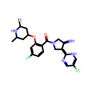 CCC1CC(Oc2cc(F)ccc2C(=O)N2CC(=N)/C(=C3/N=CC(Cl)=CN3)C2)CC(C)N1